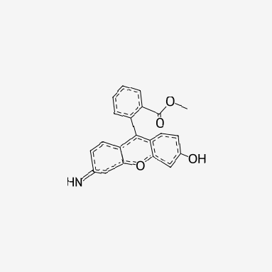 COC(=O)c1ccccc1-c1c2ccc(=N)cc-2oc2cc(O)ccc12